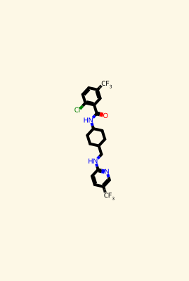 O=C(NC1CCC(CNc2ccc(C(F)(F)F)cn2)CC1)c1cc(C(F)(F)F)ccc1Cl